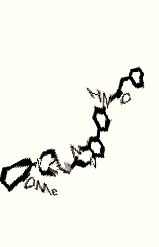 COc1ccccc1N1CCN(c2cnc3ccc(-c4ccc(NC(=O)Cc5ccccc5)cc4)cc3n2)CC1